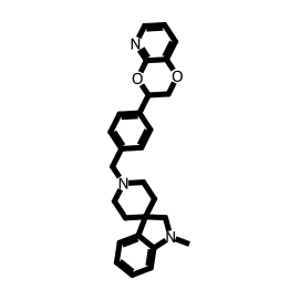 CN1CC2(CCN(Cc3ccc(C4COc5cccnc5O4)cc3)CC2)c2ccccc21